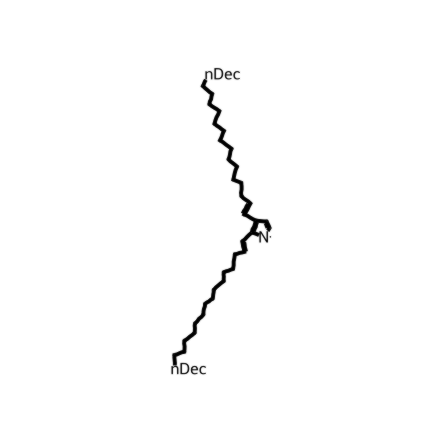 CCCCCCCCCCCCCCCCCCCCCCCC=CC1=C(C=CCCCCCCCCCCCCCCCCCCCCCCC)[N]C=C1